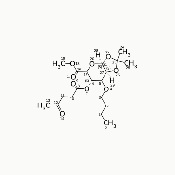 CCCCOC1[C@H](OC(=O)CCC(C)=O)C(C(=O)OC)O[C@H]2OC(C)(C)O[C@@H]12